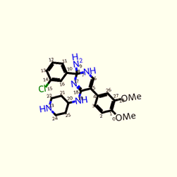 COc1ccc(C2=CNC(N)(c3cccc(Cl)c3)N=C2NC2CCNCC2)cc1OC